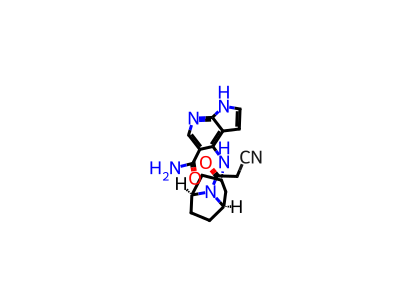 N#CCC(=O)N1[C@@H]2CC[C@H]1C[C@H](Nc1c(C(N)=O)cnc3[nH]ccc13)C2